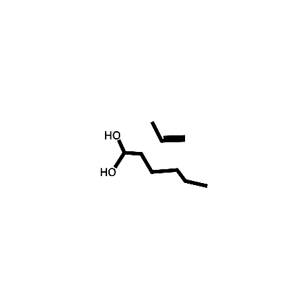 C=CC.CCCCCC(O)O